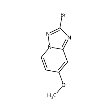 COc1ccn2nc(Br)nc2c1